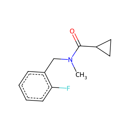 CN(Cc1ccccc1F)C(=O)C1CC1